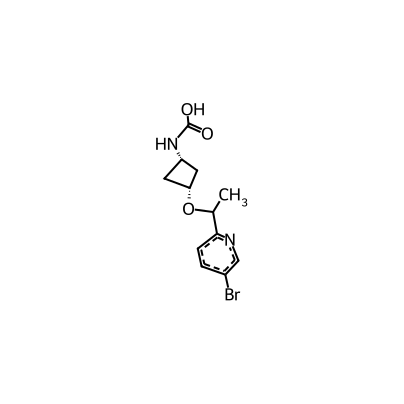 CC(O[C@H]1C[C@@H](NC(=O)O)C1)c1ccc(Br)cn1